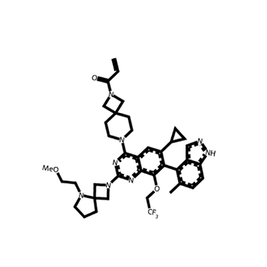 C=CC(=O)N1CC2(CCN(c3nc(N4CC5(CCCN5CCOC)C4)nc4c(OCC(F)(F)F)c(-c5c(C)ccc6[nH]ncc56)c(C5CC5)cc34)CC2)C1